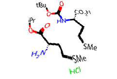 CSCC[C@H](N)C(=O)OC(C)C.CSCC[C@H](NC(=O)OC(C)(C)C)C(=O)O.Cl